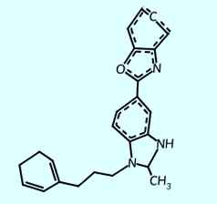 CC1Nc2cc(-c3nc4ccccc4o3)ccc2N1CCCC1=CCCC=C1